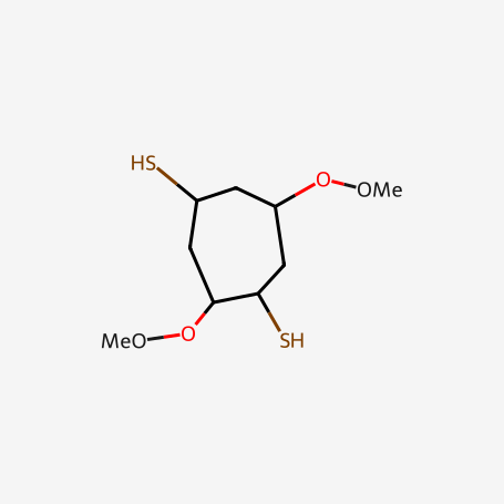 COOC1CC(S)CC(OOC)C(S)C1